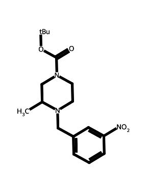 CC1CN(C(=O)OC(C)(C)C)CCN1Cc1cccc([N+](=O)[O-])c1